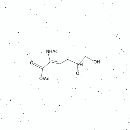 COC(=O)C(=CC[PH](=O)CO)NC(C)=O